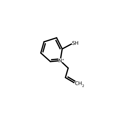 C=CC[n+]1ccccc1S